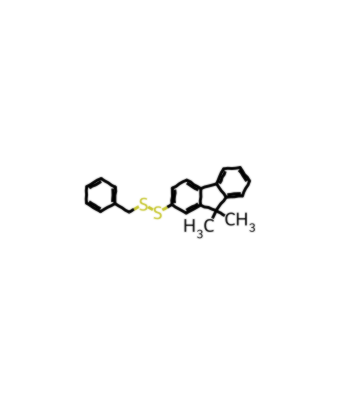 CC1(C)c2ccccc2-c2ccc(SSCc3ccccc3)cc21